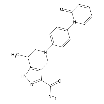 CC1CN(c2ccc(-n3ccccc3=O)cc2)Cc2c(C(N)=O)n[nH]c21